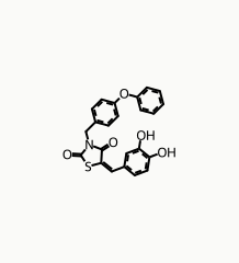 O=C1SC(=Cc2ccc(O)c(O)c2)C(=O)N1Cc1ccc(Oc2ccccc2)cc1